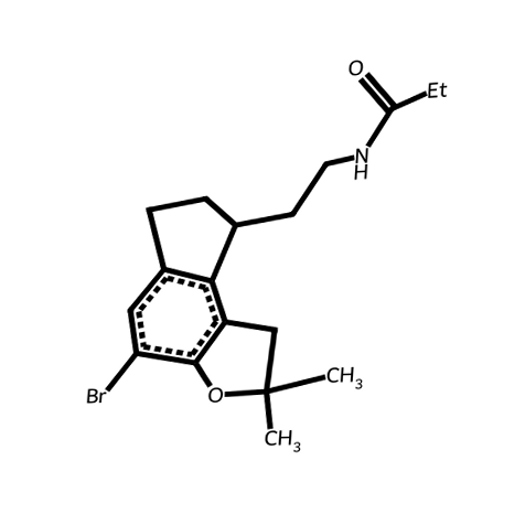 CCC(=O)NCCC1CCc2cc(Br)c3c(c21)CC(C)(C)O3